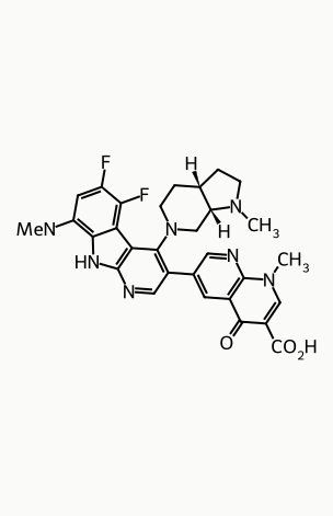 CNc1cc(F)c(F)c2c1[nH]c1ncc(-c3cnc4c(c3)c(=O)c(C(=O)O)cn4C)c(N3CC[C@@H]4CCN(C)[C@@H]4C3)c12